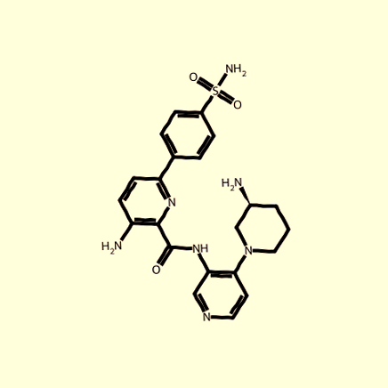 Nc1ccc(-c2ccc(S(N)(=O)=O)cc2)nc1C(=O)Nc1cnccc1N1CCC[C@H](N)C1